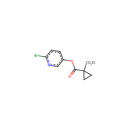 CCOC(=O)C1(C(=O)Oc2ccc(Br)nc2)CC1